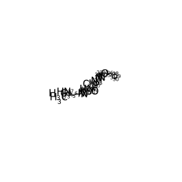 CC1(C)CC(CCCn2ccc(SNC(=O)c3ccc(-n4ccc(OCCC5CCCC5)n4)nc3Cl)n2)CN1